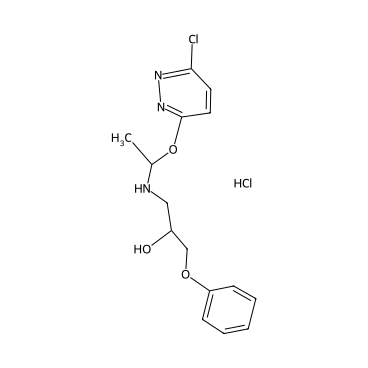 CC(NCC(O)COc1ccccc1)Oc1ccc(Cl)nn1.Cl